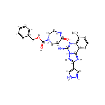 N#Cc1cccc2c1nc(N[C@@H]1CN(C(=O)OCc3ccccc3)CCNC1=O)n1nc(-c3cn[nH]c3)nc21